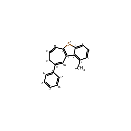 Cc1cccc2sc3c(c12)C=C(c1ccccc1)CC=C3